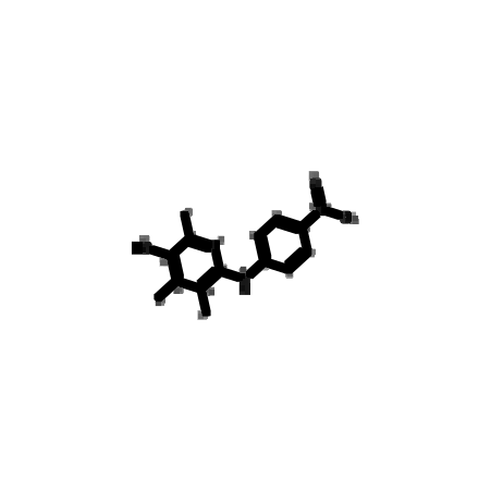 Cc1nc(Nc2ccc([N+](=O)[O-])cc2)c(C)c(C)c1O